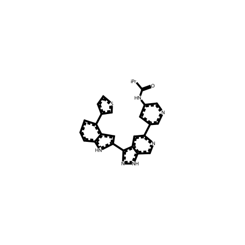 CC(C)C(=O)Nc1cncc(-c2cc3c(-c4cc5c(-c6ccsc6)cccc5[nH]4)n[nH]c3cn2)c1